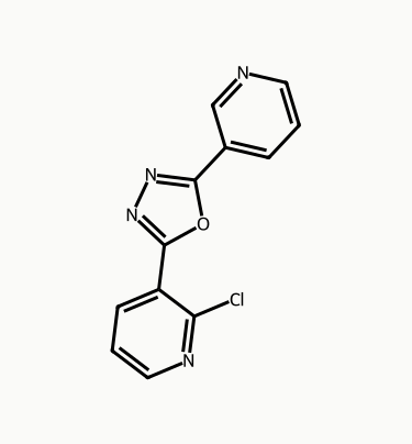 Clc1ncccc1-c1nnc(-c2cccnc2)o1